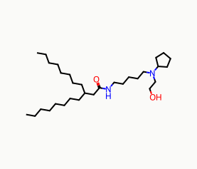 CCCCCCCCC(CCCCCCCC)CC(=O)NCCCCCN(CCO)C1CCCC1